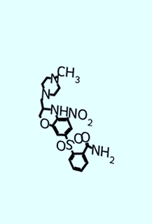 CN1CCN(CC2COc3cc(S(=O)(=O)c4ccccc4C(N)=O)cc([N+](=O)[O-])c3N2)CC1